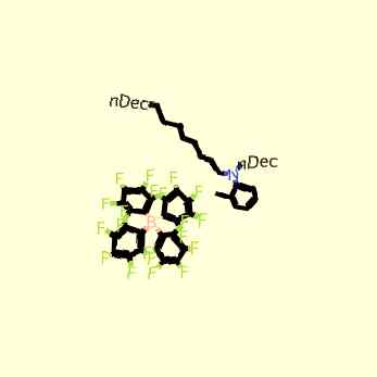 CCCCCCCCCCCCCCCCCCN(CCCCCCCCCC)c1ccccc1C.Fc1c(F)c(F)c([B-](c2c(F)c(F)c(F)c(F)c2F)(c2c(F)c(F)c(F)c(F)c2F)c2c(F)c(F)c(F)c(F)c2F)c(F)c1F